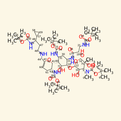 CN(C(=O)OC(C)(C)C)[C@@H]1[C@@H](O)[C@@H](O[C@H]2[C@H](NC(=O)[C@@H](O)CNC(=O)OC(C)(C)C)C[C@H](NC(=O)OC(C)(C)C)C([C@H]3OC(CNCCC(NC(=O)OC(C)(C)C)C4CC4)=CC[C@H]3NC(=O)OC(C)(C)C)[C@@H]2O)OC[C@]1(C)O